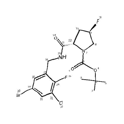 CC(C)(C)OC(=O)N1C[C@H](F)C[C@H]1C(=O)NCc1cc(Br)cc(Cl)c1F